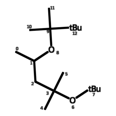 CC(CC(C)(C)OC(C)(C)C)OC(C)(C)C(C)(C)C